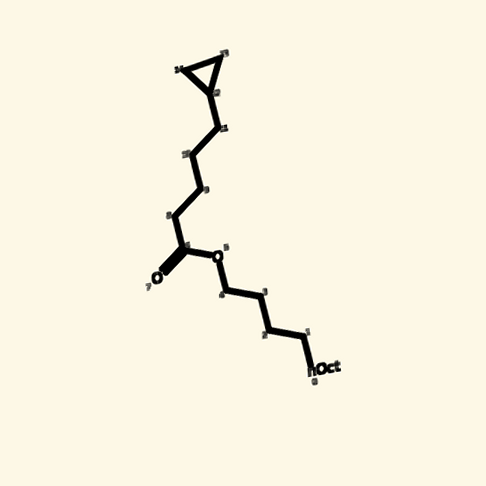 CCCCCCCCCCCCOC(=O)CCCCC1CC1